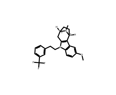 COc1ccc2c(c1)c1c(n2CCc2cccc(C(F)(F)F)c2)C[C@@H]2CC[C@H]1N2C